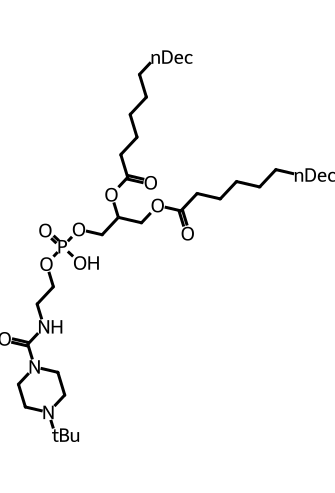 CCCCCCCCCCCCCCCC(=O)OCC(COP(=O)(O)OCCNC(=O)N1CCN(C(C)(C)C)CC1)OC(=O)CCCCCCCCCCCCCCC